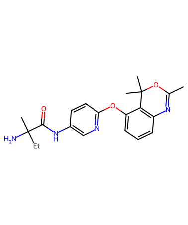 CCC(C)(N)C(=O)Nc1ccc(Oc2cccc3c2C(C)(C)OC(C)=N3)nc1